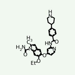 CCOc1cc2c(cc1Oc1ccnc(NC(=O)c3ccc(C4CCNCC4)cc3)c1)cc(C)n2C(N)=O